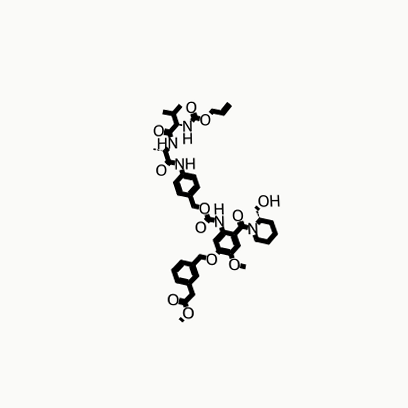 C=CCOC(=O)N[C@H](C(=O)N[C@@H](C)C(=O)Nc1ccc(COC(=O)Nc2cc(OCc3cccc(CC(=O)OC)c3)c(OC)cc2C(=O)N2CCCC[C@H]2CO)cc1)C(C)C